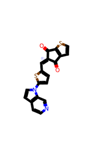 O=C1/C(=C\c2ccc(-n3ccc4ccncc43)s2)C(=O)c2sccc21